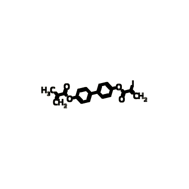 C=C(C)C(=O)Oc1ccc(-c2ccc(OC(=O)C(=C)I)cc2)cc1